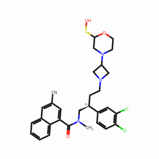 CN(C[C@@H](CCN1CC(N2CCOC(SO)C2)C1)c1ccc(Cl)c(Cl)c1)C(=O)c1cc(C#N)cc2ccccc12